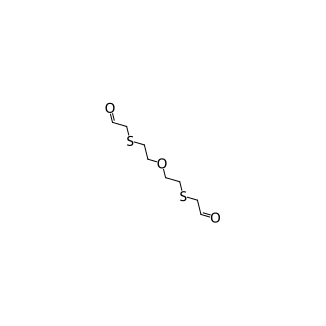 O=CCSCCOCCSCC=O